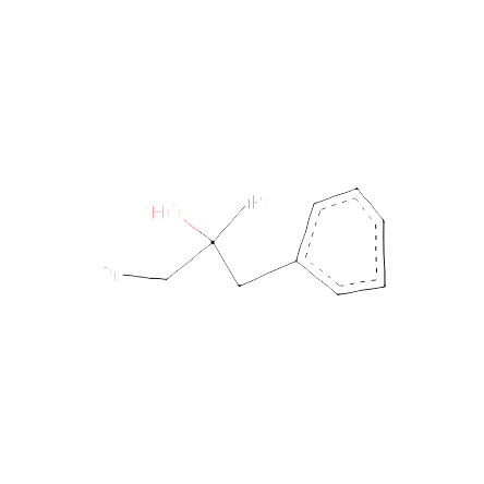 CC(C)CC(O)(Cc1ccccc1)C(C)C